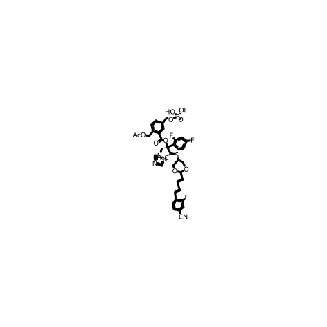 CC(=O)OCc1ccc(COP(=O)(O)O)cc1C(=O)O[C@@](Cn1cncn1)(c1ccc(F)cc1F)[C@@H](C)SC1COC(C=CC=Cc2ccc(C#N)cc2F)OC1